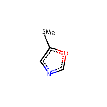 CSc1cnco1